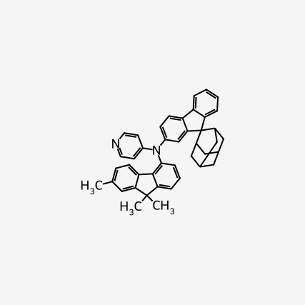 Cc1ccc2c(c1)C(C)(C)c1cccc(N(c3ccncc3)c3ccc4c(c3)C3(c5ccccc5-4)C4CC5CC(C4)CC3C5)c1-2